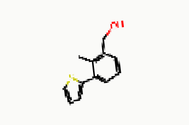 Cc1c(CO)cccc1-c1cccs1